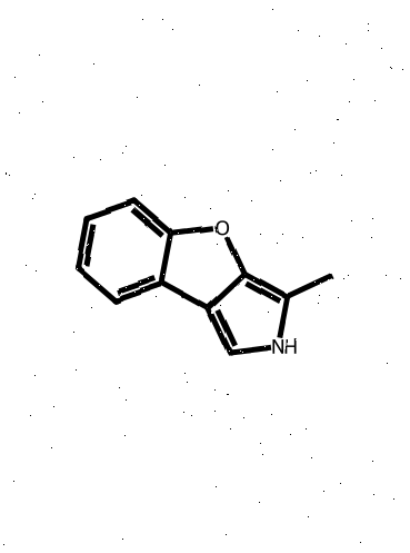 Cc1[nH]cc2c1oc1ccccc12